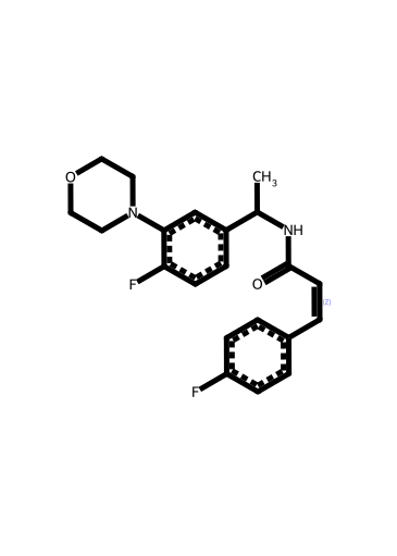 CC(NC(=O)/C=C\c1ccc(F)cc1)c1ccc(F)c(N2CCOCC2)c1